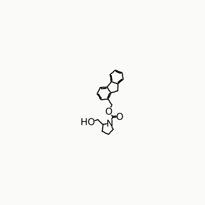 O=C(OCc1cccc2c1Cc1ccccc1-2)N1CCCC1CO